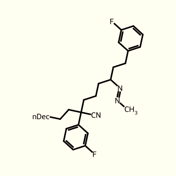 CCCCCCCCCCCCC(C#N)(CCCC(CCc1cccc(F)c1)/N=N/C)c1cccc(F)c1